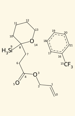 C=CCOC(=O)CCC1([SiH3])CCCCO1.FC(F)(F)c1ccccc1